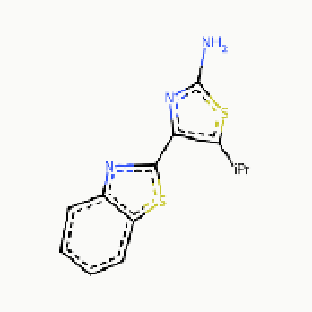 CC(C)c1sc(N)nc1-c1nc2ccccc2s1